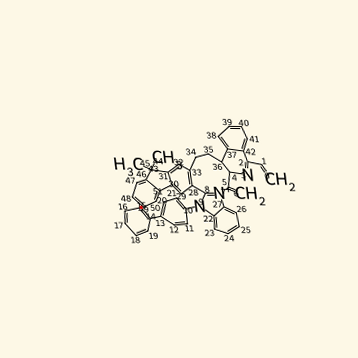 C=CC1=NC2C(=C)[n+]3c(n(-c4ccc(-c5ccccc5)cc4)c4ccccc43)-c3cc4c(cc3CCC2c2ccccc21)C(C)(C)c1ccccc1-4